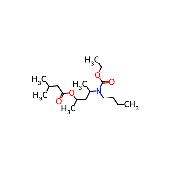 CCCCN(C(=O)OCC)C(C)CC(C)OC(=O)CC(C)C